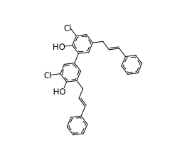 Oc1c(Cl)cc(-c2cc(C/C=C/c3ccccc3)cc(Cl)c2O)cc1C/C=C/c1ccccc1